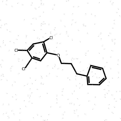 Clc1cc(Cl)c(OCCCc2ccccc2)cc1Cl